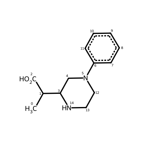 CC(C(=O)O)C1CN(c2ccccc2)CCN1